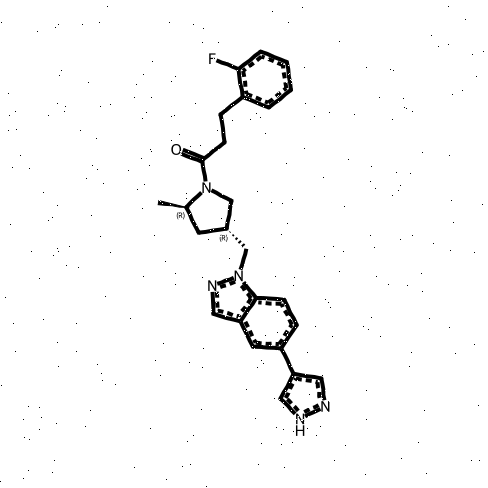 C[C@@H]1C[C@@H](Cn2ncc3cc(-c4cn[nH]c4)ccc32)CN1C(=O)CCc1ccccc1F